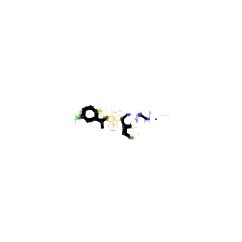 Cc1c(S(=O)(=O)C2CN(CCN)c3sccc32)sc2ccc(Cl)cc12